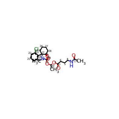 CC(=O)NCCCC(=O)OC(C)OC(=O)N(C)[C@]1(c2ccccc2Cl)CCCCC1=O